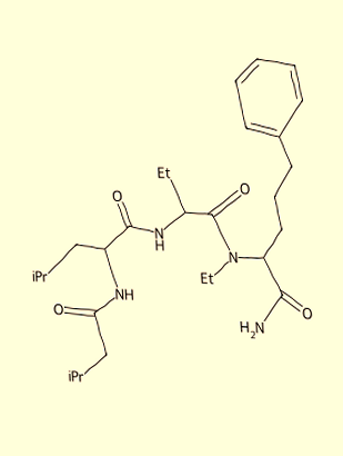 CCC(NC(=O)C(CC(C)C)NC(=O)CC(C)C)C(=O)N(CC)C(CCCc1ccccc1)C(N)=O